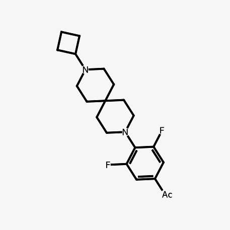 CC(=O)c1cc(F)c(N2CCC3(CC2)CCN(C2CCC2)CC3)c(F)c1